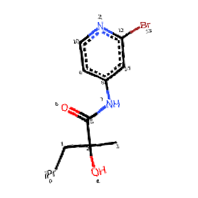 CC(C)CC(C)(O)C(=O)Nc1ccnc(Br)c1